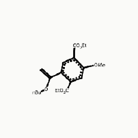 C=C(OCCCC)c1cc(C(=O)OCC)c(OC)cc1C(=O)OCC